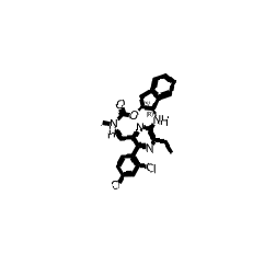 CCc1nc(-c2ccc(Cl)cc2Cl)c(CC)nc1N[C@@H]1c2ccccc2C[C@@H]1OC(=O)NC